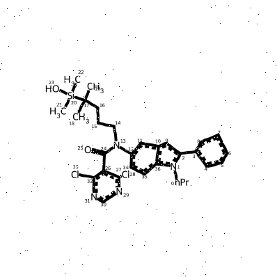 CCCn1c(-c2ccccc2)cc2cc(N(CCCC(C)(C)[Si](C)(C)O)C(=O)c3c(Cl)ncnc3Cl)ccc21